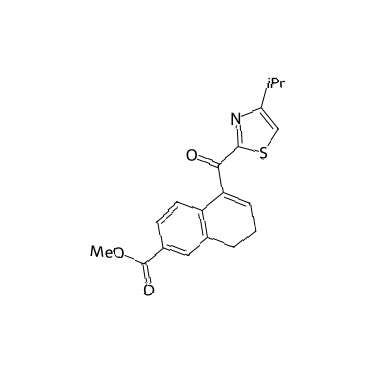 COC(=O)c1ccc2c(c1)CCC=C2C(=O)c1nc(C(C)C)cs1